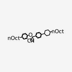 CCCCCCCCc1ccc(OC(=O)c2ccc(C3CCC(CCCCCCCC)CC3)cc2)c(C#N)c1